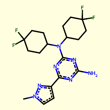 Cn1ccc(-c2nc(N)nc(N(C3CCC(F)(F)CC3)C3CCC(F)(F)CC3)n2)n1